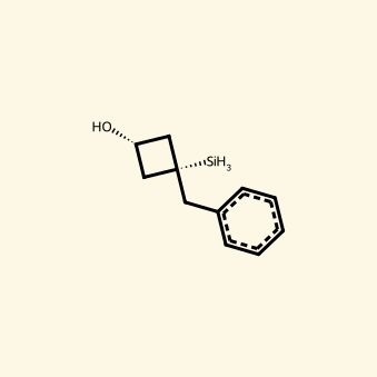 O[C@H]1C[C@]([SiH3])(Cc2ccccc2)C1